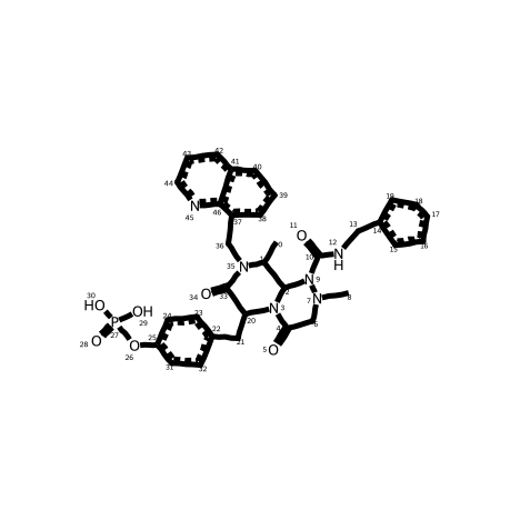 CC1C2N(C(=O)CN(C)N2C(=O)NCc2ccccc2)C(Cc2ccc(OP(=O)(O)O)cc2)C(=O)N1Cc1cccc2cccnc12